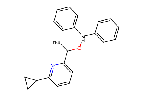 CC(C)(C)C(O[SiH](c1ccccc1)c1ccccc1)c1cccc(C2CC2)n1